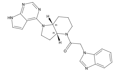 O=C(Cn1cnc2ccccc21)N1CCC[C@@H]2[C@H]1CCN2c1ncnc2[nH]ccc12